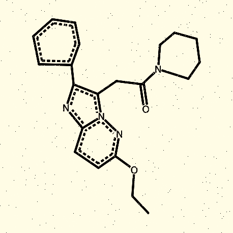 CCOc1ccc2nc(-c3ccccc3)c(CC(=O)N3CCCCC3)n2n1